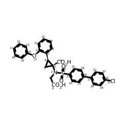 O=C(O)CN([C@]1(C(=O)O)C[C@H]1c1ccccc1Oc1ccccc1)S(=O)(=O)c1ccc(-c2ccc(Cl)cc2)cc1